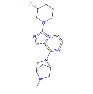 CN1CC2CC1CN2c1nccn2c(N3CCCC(F)C3)ncc12